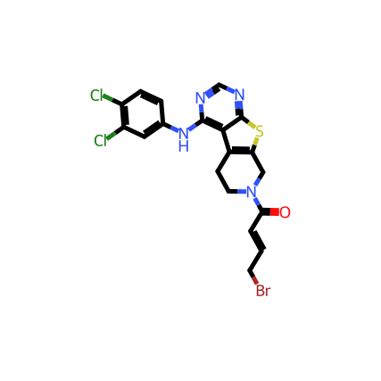 O=C(C=CCBr)N1CCc2c(sc3ncnc(Nc4ccc(Cl)c(Cl)c4)c23)C1